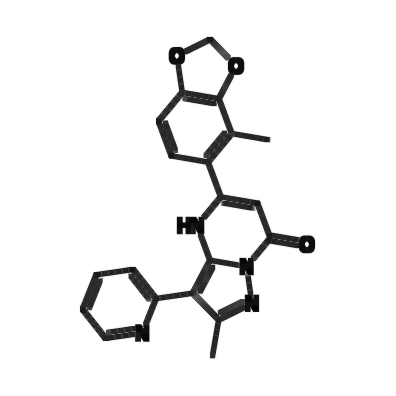 Cc1nn2c(=O)cc(-c3ccc4c(c3C)OCO4)[nH]c2c1-c1ccccn1